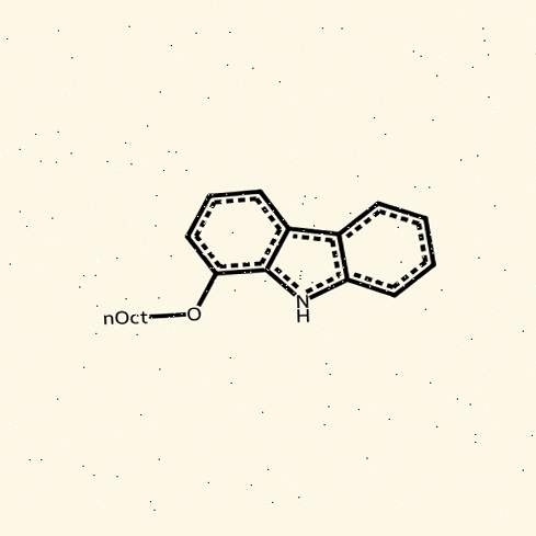 CCCCCCCCOc1cccc2c1[nH]c1ccccc12